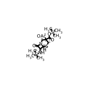 CC(=O)OC1(C(=O)O[Si](C)(C)C)CS[C@@H]2C(N[Si](C)(C)C)C(=O)N2C1